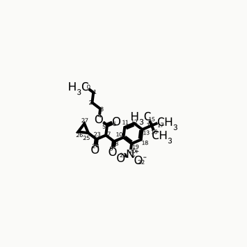 CCCCOC(=O)C(C(=O)c1ccc(C(C)(C)C)cc1[N+](=O)[O-])C(=O)C1CC1